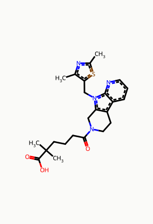 Cc1nc(C)c(Cn2c3c(c4cccnc42)CCN(C(=O)CCCC(C)(C)C(=O)O)C3)s1